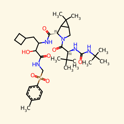 Cc1ccc(S(=O)(=O)CNC(=O)C(O)C(CC2CCC2)NC(=O)[C@@H]2C3C(CN2C(=O)[C@@H](NC(=O)NC(C)(C)C)C(C)(C)C)C3(C)C)cc1